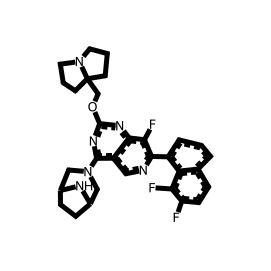 Fc1ccc2cccc(-c3ncc4c(N5CC6CCC(C5)N6)nc(OCC56CCCN5CCC6)nc4c3F)c2c1F